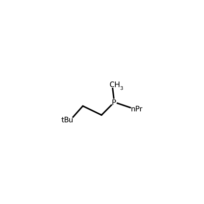 CCCP(C)CCC(C)(C)C